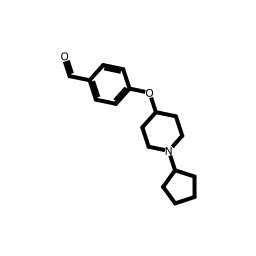 O=Cc1ccc(OC2CCN(C3CCCC3)CC2)cc1